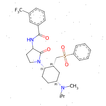 CC(C)N(C)[C@@H]1CC[C@H](N2CCC(NC(=O)c3cccc(C(F)(F)F)c3)C2=O)[C@H](CS(=O)(=O)c2ccccc2)C1